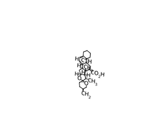 C=C1CC[C@@]2(OC1)O[C@H]1C[C@H]3[C@@H]4CC=C5CCCC[C@]5(C)[C@H]4C[C@@H](C(=O)O)[C@]3(C)[C@H]1[C@@H]2C